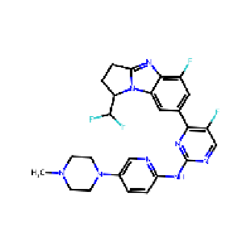 CN1CCN(c2ccc(Nc3ncc(F)c(-c4cc(F)c5nc6n(c5c4)C(C(F)F)CC6)n3)nc2)CC1